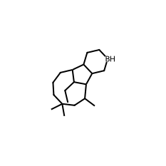 CCC1C2CCCC(C)(C)CC(C)C1C1CBCCC21